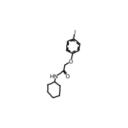 O=C(COc1ccc(I)cc1)NC1CCCCC1